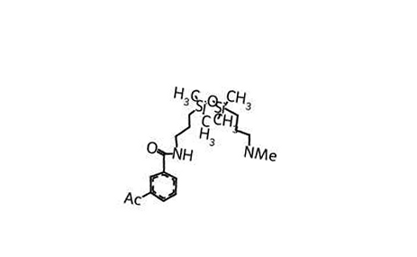 CNCCC[Si](C)(C)O[Si](C)(C)CCCNC(=O)c1cccc(C(C)=O)c1